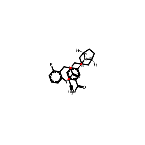 N#CCC(=O)N(CCN1[C@@H]2CC[C@H]1C[C@@H](c1cccc(C(N)=O)c1)C2)Cc1c(F)cccc1F